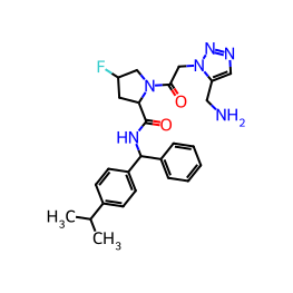 CC(C)c1ccc(C(NC(=O)C2CC(F)CN2C(=O)Cn2nncc2CN)c2ccccc2)cc1